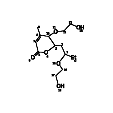 CCC(CC1OC(=O)C=C(C)C1OCCO)OCCO